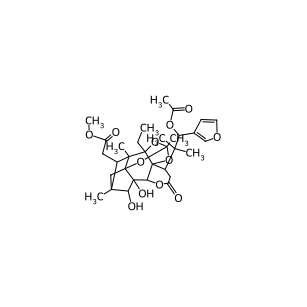 CCC12OC3(C)OC14C(C(C)(C)C(OC(C)=O)c1ccoc1)CC(=O)OC4C1(O)C(O)C4(C)CC1(O3)C2(C)C4CC(=O)OC